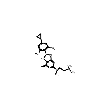 Cc1cc(C2CC2)cc(C)c1N1Nc2nc(N(C)CCN(C)C)[nH]c(=O)c2N1